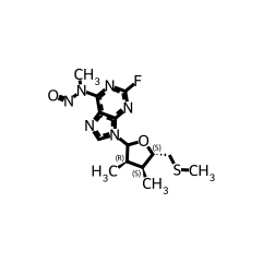 CSC[C@H]1OC(n2cnc3c(N(C)N=O)nc(F)nc32)[C@H](C)[C@@H]1C